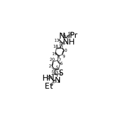 CCc1nc2sc3cc(-c4ccc(-c5cnc(C(C)C)[nH]5)cc4)ccc3c2[nH]1